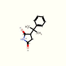 CC(C)(c1ccccc1)C1CC(=O)NC1=O